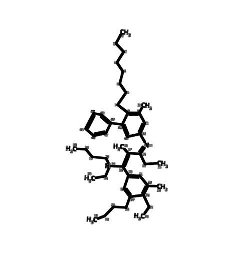 CCCCCCCCc1c(C)cc(N=C(CC)C(C)=[C](c2cc(C)c(CC)c(CCCC)c2)[Ni]([CH2]C)[CH2]CCC)cc1-c1ccccc1